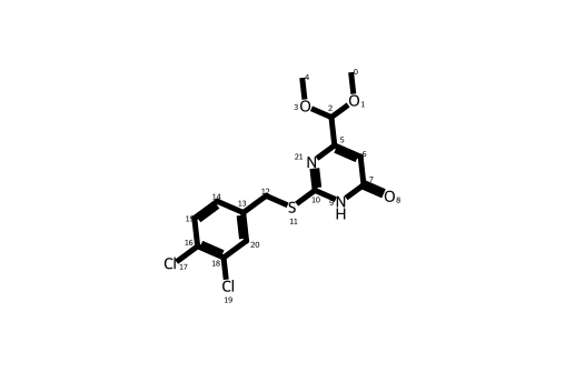 COC(OC)c1cc(=O)[nH]c(SCc2ccc(Cl)c(Cl)c2)n1